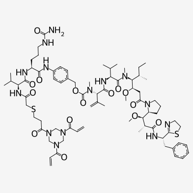 C=CC(=O)N1CN(C(=O)C=C)CN(C(=O)CCSCC(=O)N[C@H](C(=O)N[C@@H](CCCNC(N)=O)C(=O)Nc2ccc(COC(=O)N(C)[C@@H](C(=C)C)C(=O)N[C@H](C(=O)N(C)[C@@H]([C@@H](C)CC)[C@@H](CC(=O)N3CCC[C@H]3[C@H](OC)[C@@H](C)C(=O)N[C@@H](Cc3ccccc3)C3=NCCS3)OC)C(C)C)cc2)C(C)C)C1